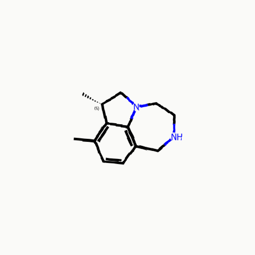 Cc1ccc2c3c1[C@H](C)CN3CCNC2